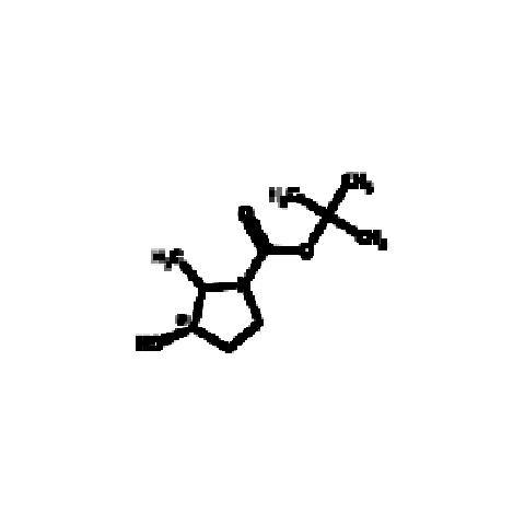 CC1[C@H](O)CCN1C(=O)OC(C)(C)C